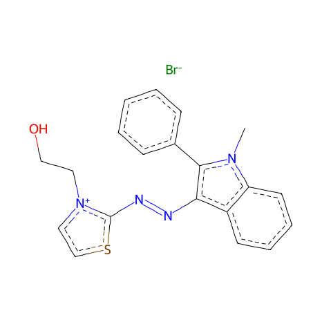 Cn1c(-c2ccccc2)c(N=Nc2scc[n+]2CCO)c2ccccc21.[Br-]